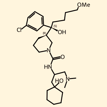 COCCCC[C@@](O)(c1cccc(Cl)c1)[C@@H]1CCCN(C(=O)NC(CN(C)C)CC2(O)CCCCC2)C1